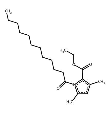 CCCCCCCCCCCC(=O)n1c(C)cc(C)c1C(=O)OCC